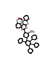 CC(C)(C)c1cc(-c2c(-c3ccccc3)cc(-c3ccccc3)c(-c3ccccc3)c2-c2ccccc2)ccc1-c1ncc2c(n1)Sc1ccccc1[Si]21c2ccccc2Sc2ccccc21